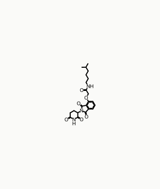 CC(C)CCCCNC(=O)COc1cccc2c1C(=O)N(C1CCC(=O)NC1=O)C2=O